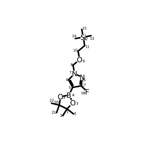 CC1(C)OB(c2cn(COCC[Si](C)(C)C)nc2F)OC1(C)C